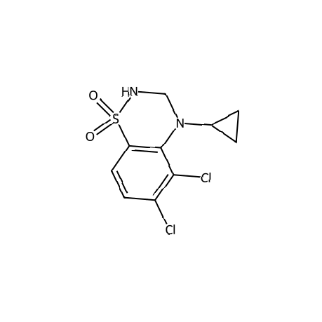 O=S1(=O)NCN(C2CC2)c2c1ccc(Cl)c2Cl